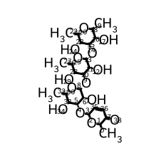 CC1OC(O[C@@H]2[C@H](O)C(O[C@@H]3[C@H](O)C(O[C@@H]4[C@H](O)C(C)OC(C)[C@@H]4O)OC(C)[C@@H]3O)OC(C)[C@@H]2O)C=CC1=O